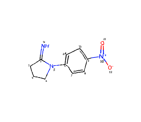 N=C1CCCN1c1ccc([N+](=O)[O-])cc1